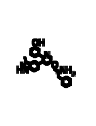 Cc1n[nH]c2ccc(-c3cc(OC[C@H](N)Cc4ccccc4)cnc3-c3cccc(O)c3)cc12